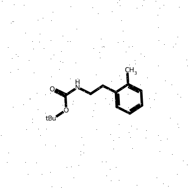 Cc1ccccc1CCNC(=O)OC(C)(C)C